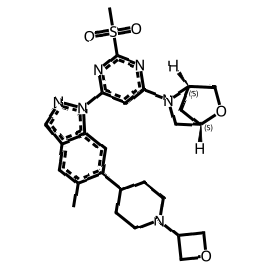 Cc1cc2cnn(-c3cc(N4C[C@@H]5C[C@H]4CO5)nc(S(C)(=O)=O)n3)c2cc1C1CCN(C2COC2)CC1